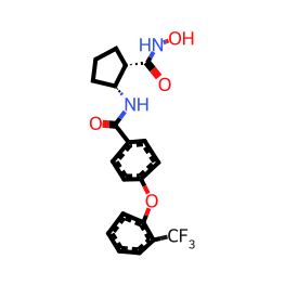 O=C(N[C@@H]1CCC[C@@H]1C(=O)NO)c1ccc(Oc2ccccc2C(F)(F)F)cc1